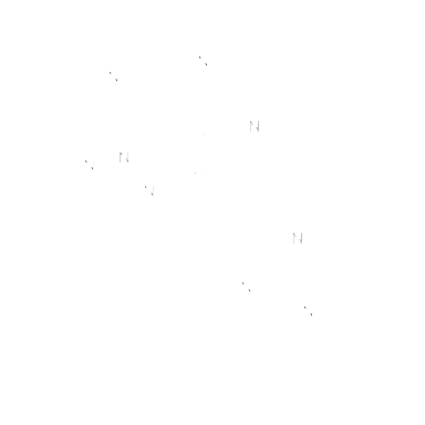 CCN(CCN(C)c1nc(C)cc(C)n1)C(=O)c1nccnc1-n1nccn1